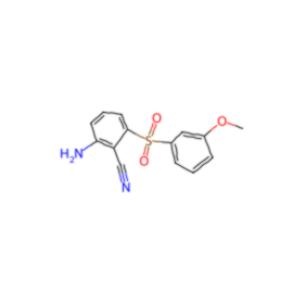 COc1cccc(S(=O)(=O)c2cccc(N)c2C#N)c1